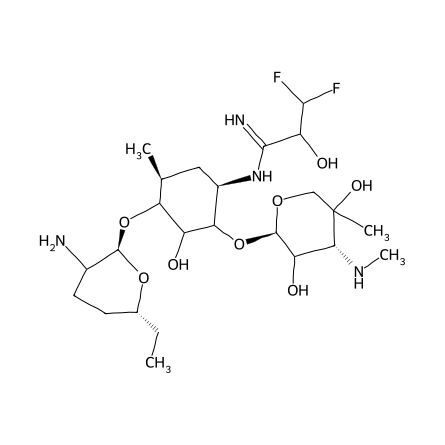 CC[C@@H]1CCC(N)[C@@H](OC2C(O)C(O[C@H]3OCC(C)(O)[C@H](NC)C3O)[C@H](NC(=N)C(O)C(F)F)C[C@@H]2C)O1